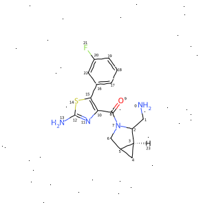 NCC1[C@H]2CC2CN1C(=O)c1nc(N)sc1-c1cccc(F)c1